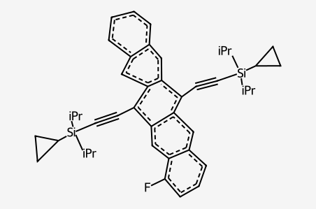 CC(C)[Si](C#Cc1c2cc3ccccc3cc2c(C#C[Si](C(C)C)(C(C)C)C2CC2)c2cc3c(F)cccc3cc12)(C(C)C)C1CC1